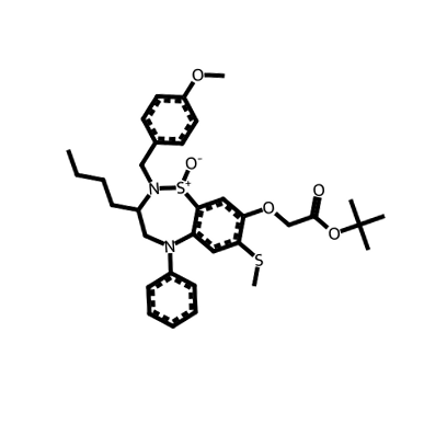 CCCCC1CN(c2ccccc2)c2cc(SC)c(OCC(=O)OC(C)(C)C)cc2[S+]([O-])N1Cc1ccc(OC)cc1